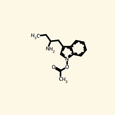 CCC(N)Cc1cn(OC(C)=O)c2ccccc12